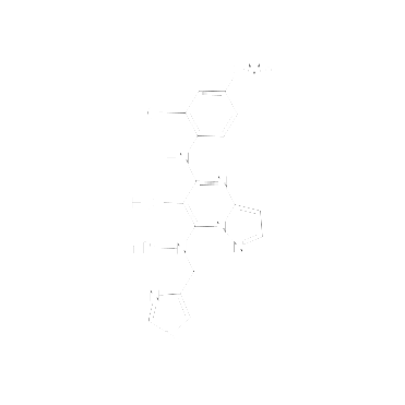 CCCN(Cc1cscn1)c1c(C)c(Nc2ccc(OC)cc2Cl)nc2ccnn12